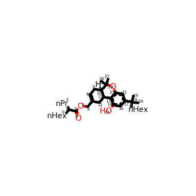 CCCCCCC(CCC)C(=O)OCC1=CC[C@H]2C(C1)c1c(O)cc(C(C)(C)CCCCCC)cc1OC2(C)C